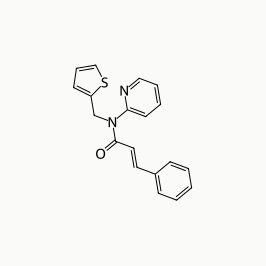 O=C(/C=C/c1ccccc1)N(Cc1cccs1)c1ccccn1